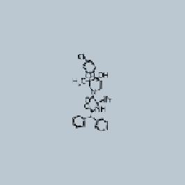 CC(C)[C@@H](NC(=O)C(c1ccccc1)c1ccccc1)C(=O)N1CC[C@](O)(c2ccc(Cl)cc2)C(C)(C)C1